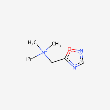 CC(C)[N+](C)(C)Cc1ncno1